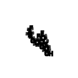 CC1=C(c2ccc(F)c(F)c2)C(c2ccc(OCCN3CC(CF)C3)cc2)Oc2cc(O)ccc21